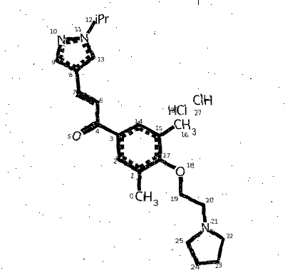 Cc1cc(C(=O)C=Cc2cnn(C(C)C)c2)cc(C)c1OCCN1CCCC1.Cl.Cl